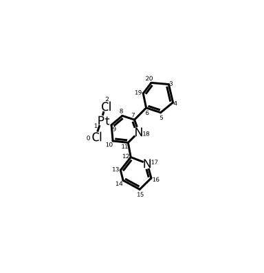 [Cl][Pt][Cl].c1ccc(-c2cccc(-c3ccccn3)n2)cc1